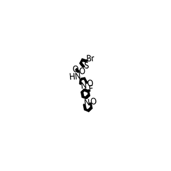 O=C(NC1CC(=O)N(c2ccc(-n3ccccc3=O)cc2F)C1)Oc1ccc(Br)s1